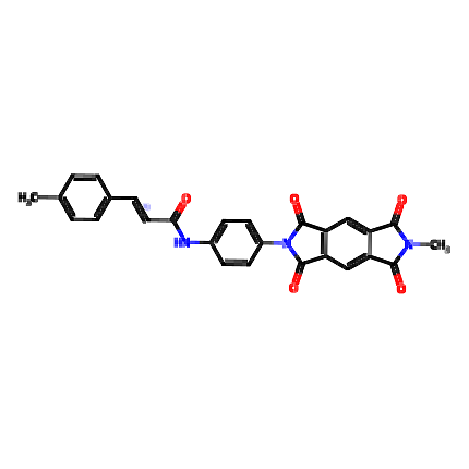 Cc1ccc(/C=C/C(=O)Nc2ccc(-n3c(=O)c4cc5c(=O)n(C)c(=O)c5cc4c3=O)cc2)cc1